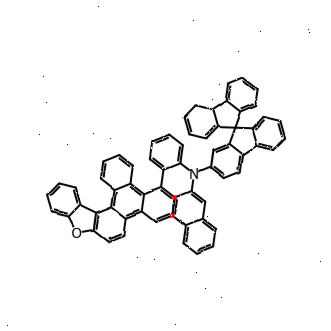 C1=CCC2C(=C1)C1(c3ccccc3-c3ccc(N(c4ccc5ccccc5c4)c4ccccc4-c4cccc5c6ccc7oc8ccccc8c7c6c6ccccc6c45)cc31)c1ccccc12